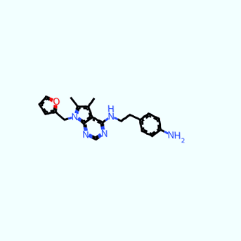 Cc1c(C)n(Cc2ccco2)c2ncnc(NCCc3ccc(N)cc3)c12